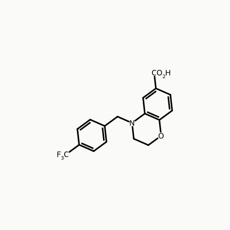 O=C(O)c1ccc2c(c1)N(Cc1ccc(C(F)(F)F)cc1)CCO2